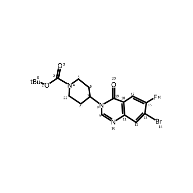 CC(C)(C)OC(=O)N1CCC(n2cnc3cc(Br)c(F)cc3c2=O)CC1